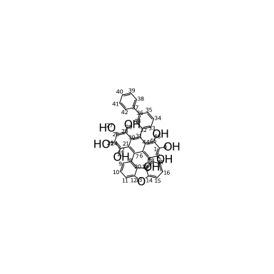 Oc1c(O)c(O)c2c(-c3cccc4oc5ccccc5c34)c3c(O)c(O)c(O)c(O)c3c(-c3cccc(-c4ccccc4)c3)c2c1O